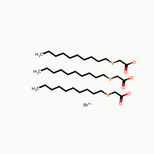 CCCCCCCCCCSCC(=O)[O-].CCCCCCCCCCSCC(=O)[O-].CCCCCCCCCCSCC(=O)[O-].[Sb+3]